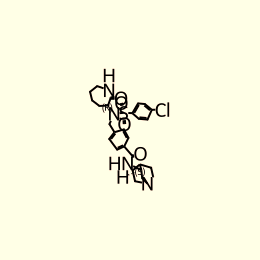 O=C(N[C@@H]1CN2CCC1CC2)c1ccc(CN([C@@H]2CCCCNC2=O)S(=O)(=O)c2ccc(Cl)cc2)cc1